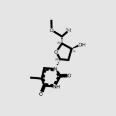 [3H]C(OC)[C@H]1O[C@@H](n2cc(C)c(=O)[nH]c2=O)C[C@@H]1O